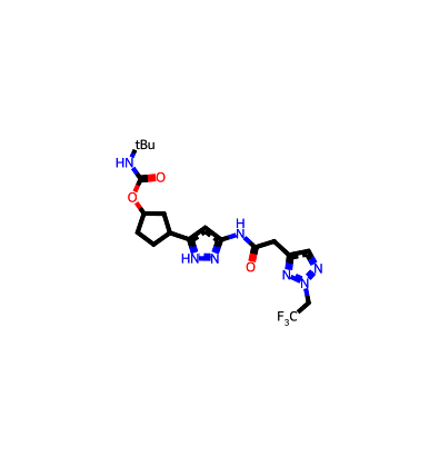 CC(C)(C)NC(=O)OC1CCC(c2cc(NC(=O)Cc3cnn(CC(F)(F)F)n3)n[nH]2)C1